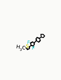 Cc1ccc(-c2c(F)cc(-c3ccc(C4CCCC4)cc3)cc2F)s1